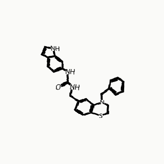 O=C(NCc1ccc2c(c1)N(Cc1ccccc1)CCS2)Nc1ccc2cc[nH]c2c1